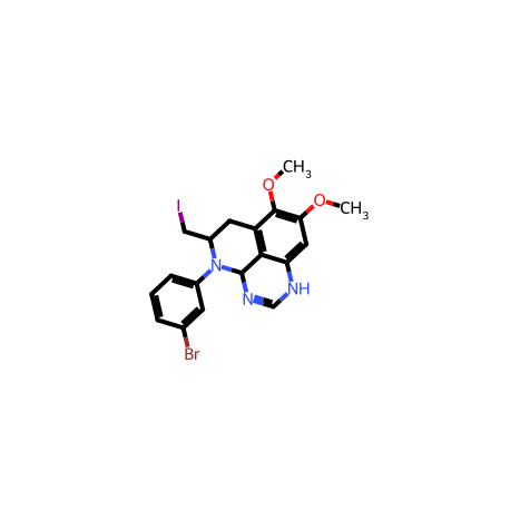 COc1cc2c3c(c1OC)CC(CI)N(c1cccc(Br)c1)C3N=CN2